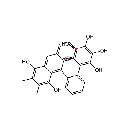 Cc1c(C)c(O)c2c(-c3ccccc3-c3c(O)c(O)c(O)c(O)c3O)c3ccccc3cc2c1O